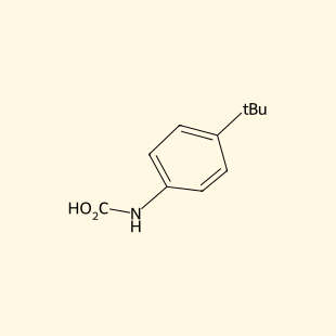 CC(C)(C)c1ccc(NC(=O)O)cc1